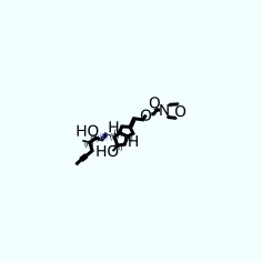 CC#CC[C@@H](C)[C@@H](O)/C=C/[C@@H]1[C@H]2CC(=CCOCC(=O)N3CCOCC3)C[C@H]2C[C@H]1O